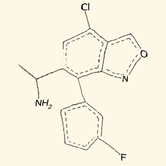 CC(N)c1cc(Cl)c2conc2c1-c1cccc(F)c1